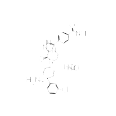 Cl.Cl.NC[C@]1(c2cccc(Cl)c2)CC[C@@H](N2CCn3c(nnc3-c3ccc(C(N)=O)cc3)C2=O)CC1